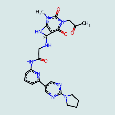 CC(=O)Cn1c(=O)c2c(n(C)c1=O)N[C@@H]2NCC(=O)Nc1cccc(-c2cnc(N3CCCC3)nc2)n1